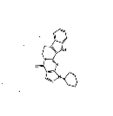 O=c1c2cnn(C3CCCCC3)c2nc2n1CCc1c-2[nH]c2ccccc12